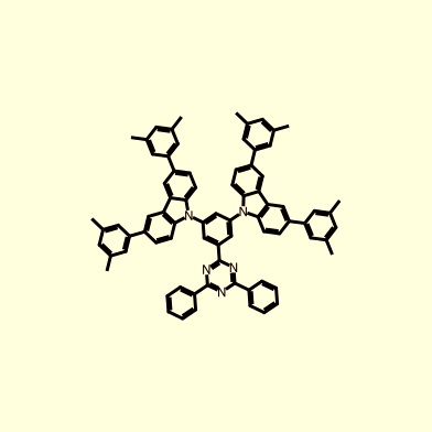 Cc1cc(C)cc(-c2ccc3c(c2)c2cc(-c4cc(C)cc(C)c4)ccc2n3-c2cc(-c3nc(-c4ccccc4)nc(-c4ccccc4)n3)cc(-n3c4ccc(-c5cc(C)cc(C)c5)cc4c4cc(-c5cc(C)cc(C)c5)ccc43)c2)c1